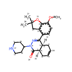 COc1ccc(C2=NN(C3CCNCC3)C(=O)[C@@H]3CC=CC[C@H]23)c2c1OC(C)(C)C2